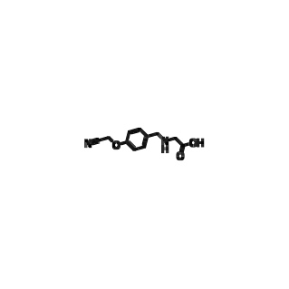 N#CCOc1ccc(CNCC(=O)O)cc1